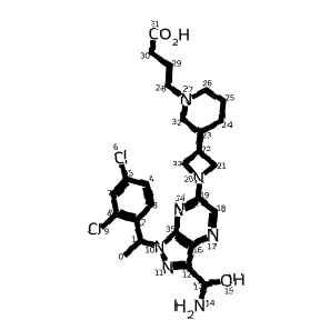 CC(c1ccc(Cl)cc1Cl)n1nc(C(N)O)c2ncc(N3CC(C4CCCN(CCCC(=O)O)C4)C3)nc21